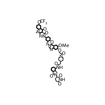 COc1cc2c(Oc3ccc(NC(=O)c4c(C)n(C)c5ccc(OC(F)(F)F)cc5c4=O)cc3F)ncnc2cc1OCC(=O)N1CCC(CC(=O)Nc2cccc3c2CN(C2CCC(=O)NC2=O)C3=O)CC1